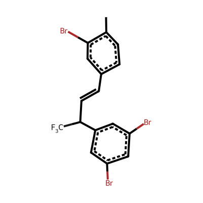 Cc1ccc(/C=C/C(c2cc(Br)cc(Br)c2)C(F)(F)F)cc1Br